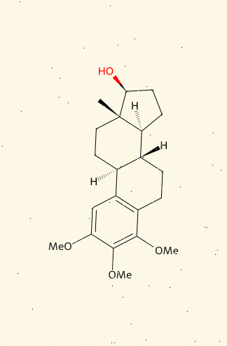 COc1cc2c(c(OC)c1OC)CC[C@@H]1[C@@H]2CC[C@]2(C)[C@@H](O)CC[C@@H]12